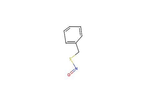 O=NSCc1ccccc1